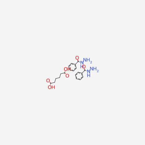 NNC(=O)c1ccccc1.NNC(=O)c1ccccc1.O=C(O)CCCCC(=O)O